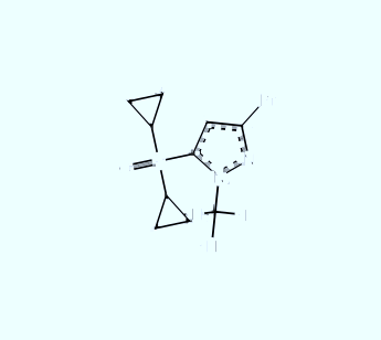 [2H]C([2H])([2H])n1nc(Br)cc1P(=O)(C1CC1)C1CC1